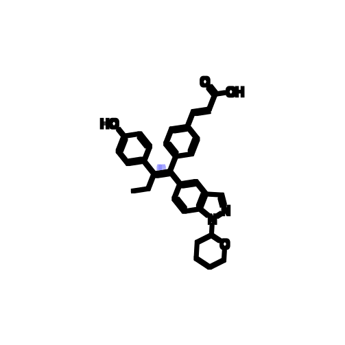 CC/C(=C(/c1ccc(C=CC(=O)O)cc1)c1ccc2c(cnn2C2CCCCO2)c1)c1ccc(O)cc1